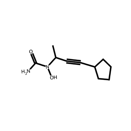 CC(C#CC1CCCC1)N(O)C(N)=O